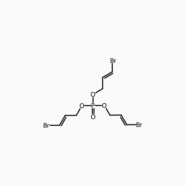 O=P(OCC=CBr)(OCC=CBr)OCC=CBr